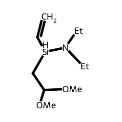 C=C[SiH](CC(OC)OC)N(CC)CC